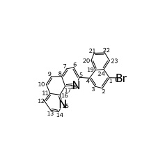 Brc1ccc(-c2ccc3ccc4cccnc4c3n2)c2ccccc12